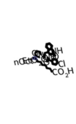 CCCCCCCC/C=C\CCCCCCCC(=O)O.CCOC(=O)C(Cc1cc(=O)[nH]c2ccccc12)(NC(=O)c1ccc(Cl)cc1)N1CCOCC1